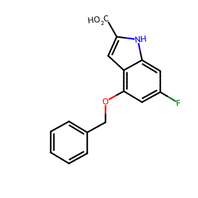 O=C(O)c1cc2c(OCc3ccccc3)cc(F)cc2[nH]1